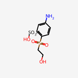 Nc1ccc(S(=O)(=O)CCO)cc1.O=S(=O)(O)O